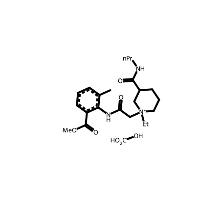 CCCNC(=O)C1CCC[N+](CC)(CC(=O)Nc2c(C)cccc2C(=O)OC)C1.O=C(O)O